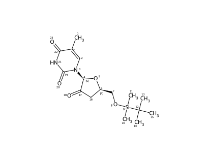 Cc1cn([C@H]2O[C@@H](CO[Si](C)(C)C(C)(C)C)CC2=O)c(=O)[nH]c1=O